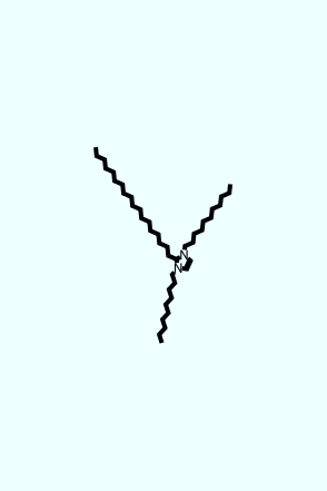 CCCCCCCCCCCCCCCCCCC1N(CCCCCCCCCC)C=CN1CCCCCCCCCCC